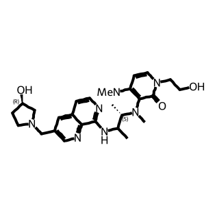 CNc1ccn(CCO)c(=O)c1N(C)[C@@H](C)C(C)Nc1nccc2cc(CN3CC[C@@H](O)C3)cnc12